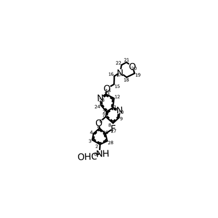 O=CNc1ccc(Oc2ccnc3cc(OCCN4CCOCC4)ncc23)c(F)c1